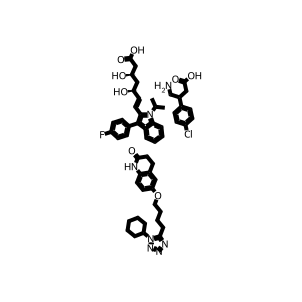 CC(C)n1c(/C=C/[C@@H](O)C[C@@H](O)CC(=O)O)c(-c2ccc(F)cc2)c2ccccc21.NCC(CC(=O)O)c1ccc(Cl)cc1.O=C1CCc2cc(OCCCCc3nnnn3C3CCCCC3)ccc2N1